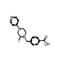 O=C(O)c1ccc(CN2CCN(c3ccncc3)CC2I)cc1